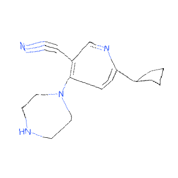 N#Cc1cnc(C2CC2)cc1N1CCNCC1